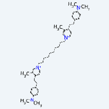 Cc1c[n+](CCCCCCCCCC[n+]2ccc(CCc3ccc(N(C)C)cc3)c(C)c2)ccc1CCc1ccc(N(C)C)cc1